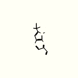 Cn1c(C(C)(C)C)cc2ncc(C=O)nc21